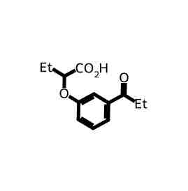 CCC(=O)c1cccc(OC(CC)C(=O)O)c1